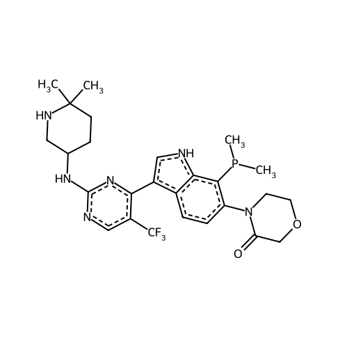 CP(C)c1c(N2CCOCC2=O)ccc2c(-c3nc(NC4CCC(C)(C)NC4)ncc3C(F)(F)F)c[nH]c12